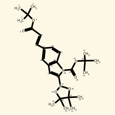 CC(C)(C)OC(=O)/C=C/c1ccc2c(c1)cc(B1OC(C)(C)C(C)(C)O1)n2C(=O)OC(C)(C)C